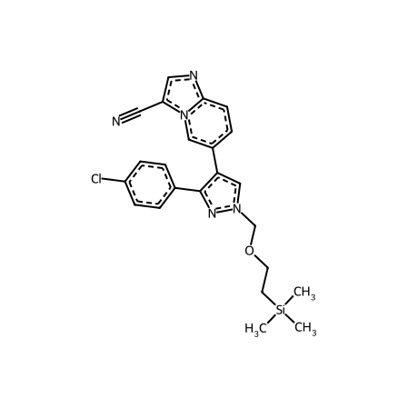 C[Si](C)(C)CCOCn1cc(-c2ccc3ncc(C#N)n3c2)c(-c2ccc(Cl)cc2)n1